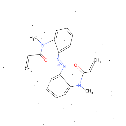 C=CC(=O)N(C)c1ccccc1/N=N/c1ccccc1N(C)C(=O)C=C